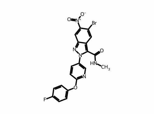 CNC(=O)c1c2cc(Br)c([N+](=O)[O-])cc2nn1-c1ccc(Oc2ccc(F)cc2)nc1